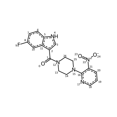 O=C(c1c[nH]c2ccc(F)cc12)N1CCN(c2ncccc2[N+](=O)[O-])CC1